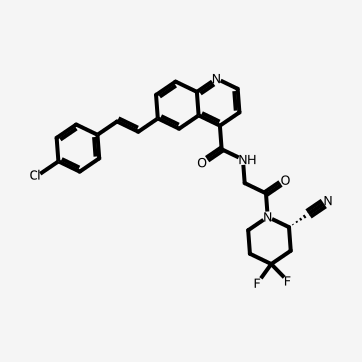 N#C[C@@H]1CC(F)(F)CCN1C(=O)CNC(=O)c1ccnc2ccc(/C=C/c3ccc(Cl)cc3)cc12